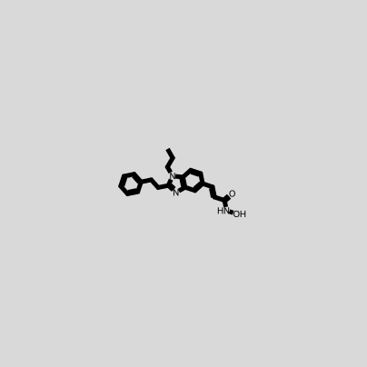 CCCn1c(CCc2ccccc2)nc2cc(C=CC(=O)NO)ccc21